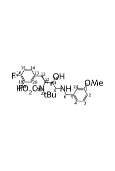 COc1cccc(CNC[C@@H](O)[C@H](Cc2ccc(F)c(F)c2)N(C(=O)O)C(C)(C)C)c1